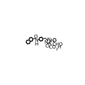 O=C[C@@H]1CCCN1c1nc(Cc2ccc(NC(=O)c3ccc4ccccc4c3)cc2)nc(Cl)c1CC(=O)O